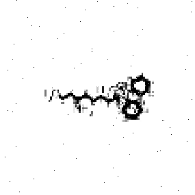 CCCC(N)CCCCC(C)(C)[Si](O)(c1ccccc1)c1ccccc1